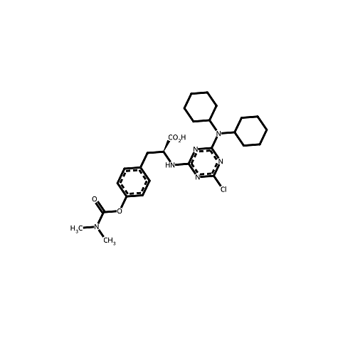 CN(C)C(=O)Oc1ccc(C[C@H](Nc2nc(Cl)nc(N(C3CCCCC3)C3CCCCC3)n2)C(=O)O)cc1